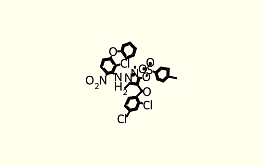 Cc1ccc(S(=O)(=O)Oc2c(C(=O)c3ccc(Cl)cc3Cl)c(C)nn2C)cc1.Nc1c([N+](=O)[O-])ccc(Oc2ccccc2)c1Cl